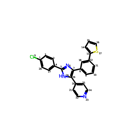 Clc1ccc(-c2nc(-c3cccc(-c4cccs4)c3)c(-c3ccncc3)[nH]2)cc1